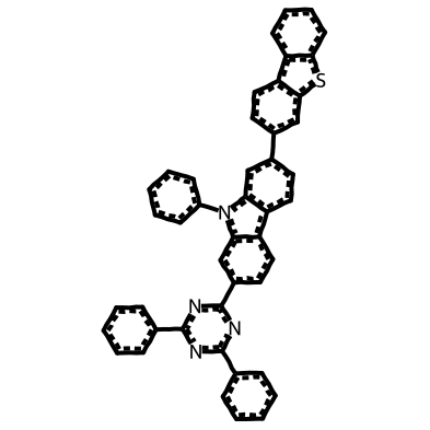 c1ccc(-c2nc(-c3ccccc3)nc(-c3ccc4c5ccc(-c6ccc7c(c6)sc6ccccc67)cc5n(-c5ccccc5)c4c3)n2)cc1